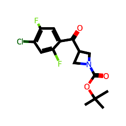 CC(C)(C)OC(=O)N1CC(C(=O)c2cc(F)c(Cl)cc2F)C1